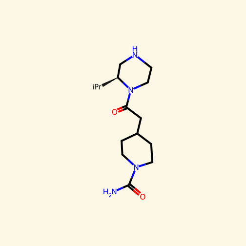 CC(C)[C@H]1CNCCN1C(=O)CC1CCN(C(N)=O)CC1